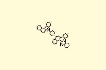 C1=Cc2nc3c4c5ccccc5c(-c5ccc(-n6c7ccccc7c7c8ccccc8ccc76)cc5)cc4c4ccccc4n3c2CC1